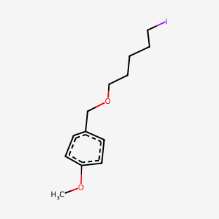 COc1ccc(COCCCCCI)cc1